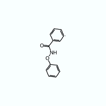 O=C(NOc1ccccc1)c1c[c]ccc1